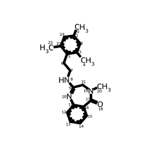 Cc1cc(C)c(CCNC2=Nc3ccccc3C(=O)N(C)C2)c(C)c1